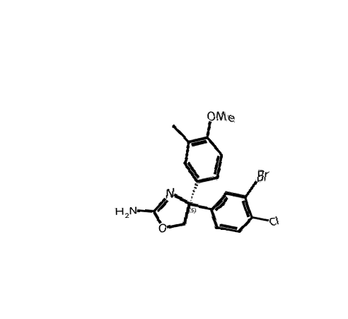 COc1ccc([C@]2(c3ccc(Cl)c(Br)c3)COC(N)=N2)cc1C